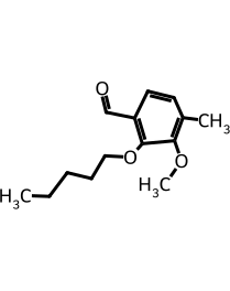 CCCCCOc1c(C=O)ccc(C)c1OC